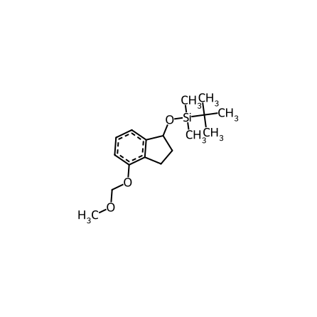 COCOc1cccc2c1CCC2O[Si](C)(C)C(C)(C)C